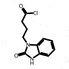 O=C(Cl)CCCn1c(=O)[nH]c2ccccc21